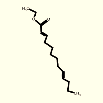 CCCC=CCCCCCC=CC(=O)OCC